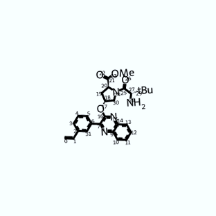 C=Cc1cccc(-c2nc3ccccc3nc2O[C@@H]2C[C@@H](C(=O)OC)N(C(=O)[C@@H](N)C(C)(C)C)C2)c1